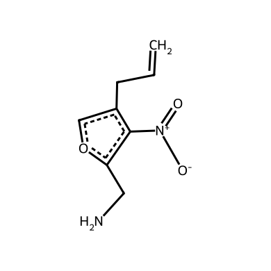 C=CCc1coc(CN)c1[N+](=O)[O-]